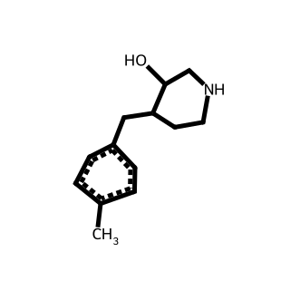 Cc1ccc(CC2CCNCC2O)cc1